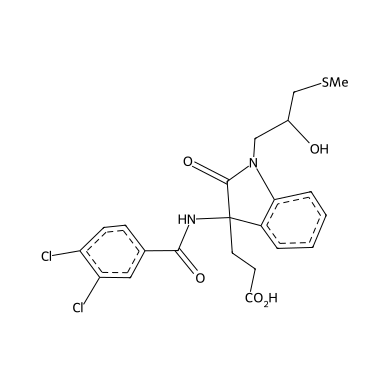 CSCC(O)CN1C(=O)C(CCC(=O)O)(NC(=O)c2ccc(Cl)c(Cl)c2)c2ccccc21